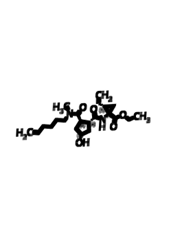 C=CCCCCN(C)C(=O)[C@@H]1C[C@H](O)C[C@H]1C(=O)N[C@]1(C(=O)OCC)C[C@H]1C=C